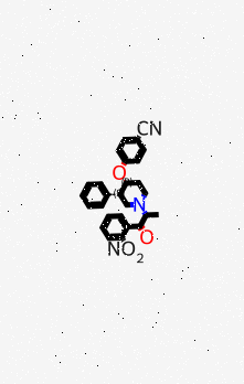 CC(C(=O)c1ccccc1[N+](=O)[O-])N1CC[C@@H](Oc2ccc(C#N)cc2)[C@@H](c2ccccc2)C1